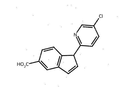 O=C(O)c1ccc2c(c1)C=CC2c1ccc(Cl)cn1